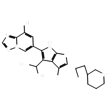 Cc1cc(-c2[nH]c3sc([C@H]4C[C@]5(CCCNC5)C4)c(C)c3c2C(C)C)cn2ncnc12